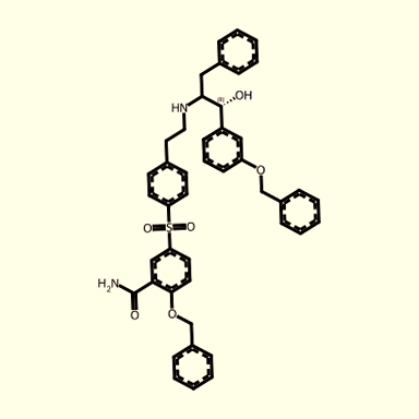 NC(=O)c1cc(S(=O)(=O)c2ccc(CCNC(Cc3ccccc3)[C@H](O)c3cccc(OCc4ccccc4)c3)cc2)ccc1OCc1ccccc1